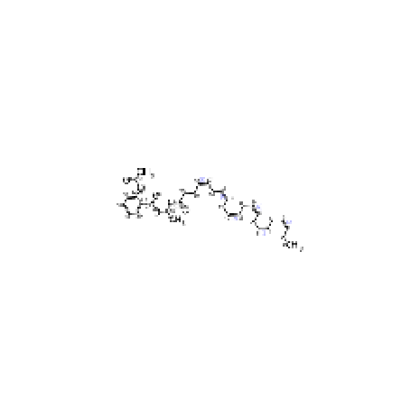 CC/C=C\C/C=C\C/C=C\C/C=C\C/C=C\C/C=C\CCC(=O)OC(C)OC(=O)c1ccccc1OC(C)=O